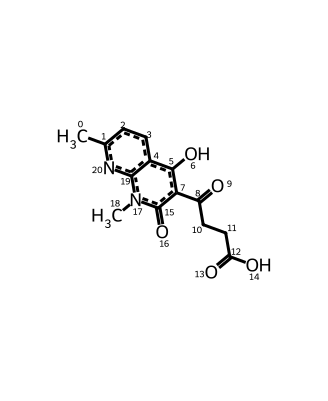 Cc1ccc2c(O)c(C(=O)CCC(=O)O)c(=O)n(C)c2n1